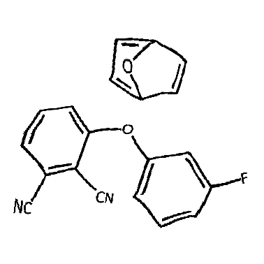 N#Cc1cccc(Oc2cccc(F)c2)c1C#N.c1cc2ccc1o2